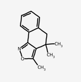 Cc1onc2c1C(C)(C)Cc1ccccc1-2